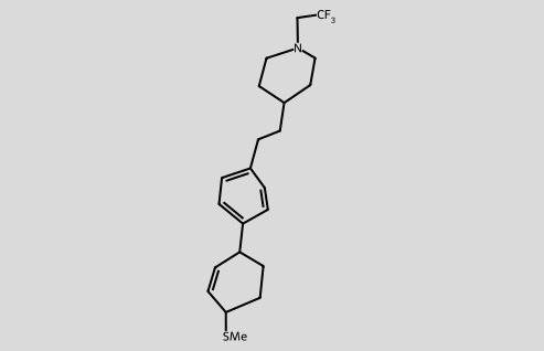 CSC1C=CC(c2ccc(CCC3CCN(CC(F)(F)F)CC3)cc2)CC1